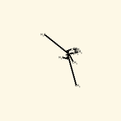 CCCCCCCCCCCCCCCCCCCCCCCCCCCCc1cc(CCCC)cc(C2=C(CCCCC)C(CCCCCCCC)=C(c3cc(CCCC)cc(CCCCCCCCCCCCCCCCCCCCCCCCCCCC)c3)[N+]2=[N-])c1.CC[N](C)[Ni][N](C)CC